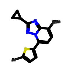 COc1ccc(-c2ccc(C(C)=O)s2)n2nc(C3CC3)nc12